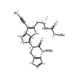 CC(C)C#Cc1c(C[C@H](C)NC(=O)OC(C)(C)C)sc2c(N(Cc3cccs3)C(=O)OC(C)(C)C)snc12